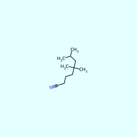 CC(C)CC(C)(C)CCCC#N